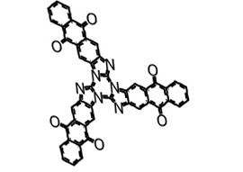 O=c1c2ccccc2c(=O)c2cc3c(cc12)nc1n3c2nc3cc4c(=O)c5ccccc5c(=O)c4cc3n2c2nc3cc4c(=O)c5ccccc5c(=O)c4cc3n12